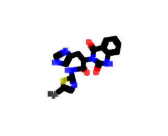 Cc1cnc(NC(=O)C(Cc2c[nH]cn2)n2c(=O)[nH]c3ccccc3c2=O)s1